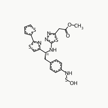 COC(=O)Cc1nnc(N[C@@H](Cc2ccc(NSO)cc2)c2csc(-c3cccs3)n2)s1